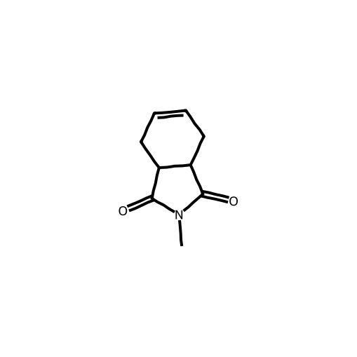 CN1C(=O)C2CC=CCC2C1=O